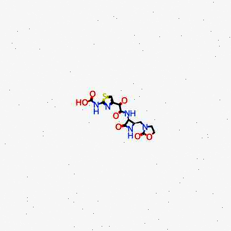 O=C(O)Nc1nc(C(=O)C(=O)N[C@@H]2C(=O)N[C@@H]2CN2CCOC2=O)cs1